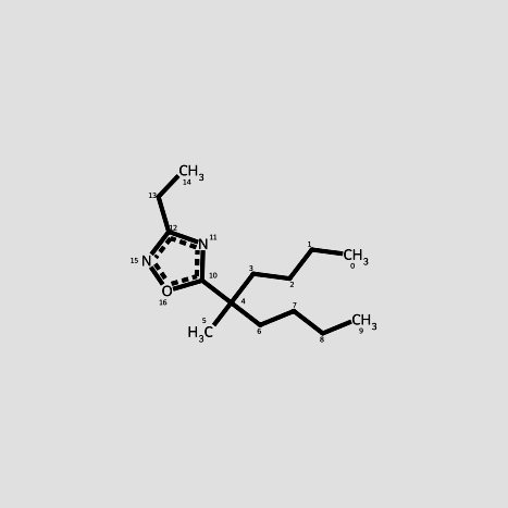 CCCCC(C)(CCCC)c1nc(CC)no1